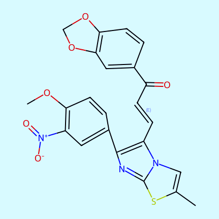 COc1ccc(-c2nc3sc(C)cn3c2/C=C/C(=O)c2ccc3c(c2)OCO3)cc1[N+](=O)[O-]